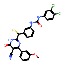 COc1cccc(-c2nc(C(S)c3cccc(NC(=O)Nc4ccc(Cl)c(Cl)c4)c3)[nH]c(=O)c2C#N)c1